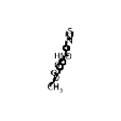 CCCCOC(=O)CC1COc2cc(NC(=O)c3ccc(C=NN4CCSCC4)cc3)ccc2C1